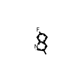 Cc1[c]nc2cc(F)ccc2c1